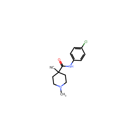 CN1CCC(C#N)(C(=O)Nc2ccc(Cl)cc2)CC1